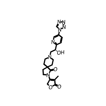 CC1=C(N2CCC3(CCN(C[C@@H](O)c4ccc(-n5cnnn5)cn4)CC3)C2=O)COC1=O